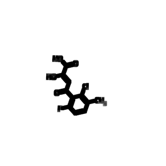 Cc1ccc(F)c(C(=O)C=C(O)C(=O)O)c1Cl